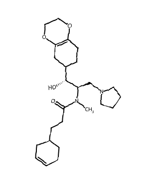 CN(C(=O)CCC1CC=CCC1)[C@H](CN1CCCC1)[C@H](O)C1CCC2=C(C1)OCCO2